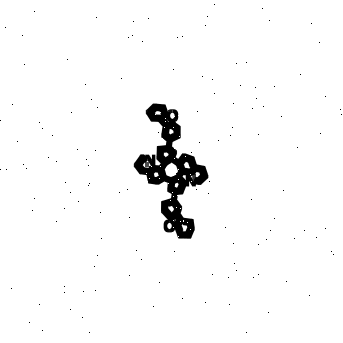 c1cnc2c3c(ccc2c1)-c1cc(-c2ccc4oc5ccccc5c4c2)ccc1-c1c(ccc2cccnc12)-c1cc(-c2ccc4oc5ccccc5c4c2)ccc1-3